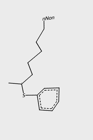 CCCCCCCCCCCCCC[C](C)Sc1ccccc1